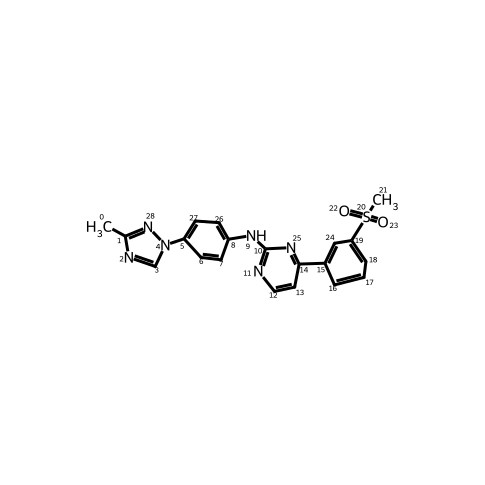 Cc1ncn(-c2ccc(Nc3nccc(-c4cccc(S(C)(=O)=O)c4)n3)cc2)n1